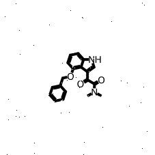 CN(C)C(=O)C(=O)c1c[nH]c2cccc(OCc3ccccc3)c12